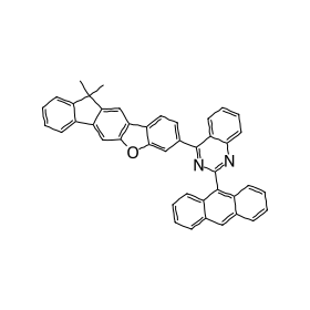 CC1(C)c2ccccc2-c2cc3oc4cc(-c5nc(-c6c7ccccc7cc7ccccc67)nc6ccccc56)ccc4c3cc21